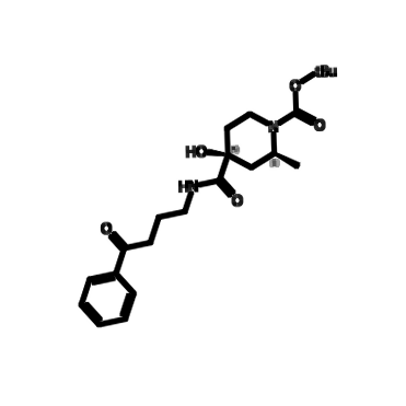 C[C@H]1C[C@](O)(C(=O)NCCCC(=O)c2ccccc2)CCN1C(=O)OC(C)(C)C